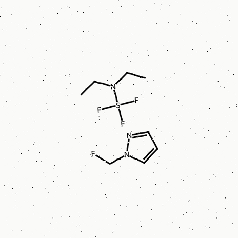 CCN(CC)S(F)(F)F.FCn1cccn1